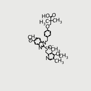 COc1ccc2c(c1)nc([S+]([O-])Cc1ncc(C)c(OC)c1C)n2Cc1ccc(OCC(C)(C)C(=O)O)cc1